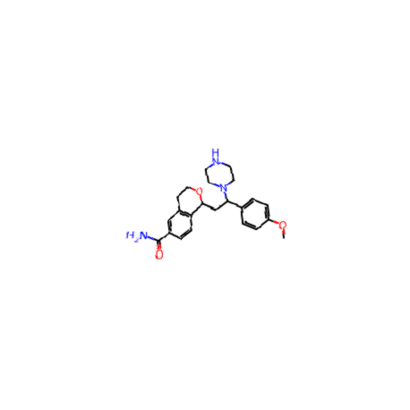 COc1ccc(C(CC2OCCc3cc(C(N)=O)ccc32)N2CCNCC2)cc1